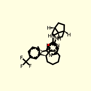 COc1cc(N2C[C@H]3CC[C@@H](C2)[C@H]3Nc2nc3n(n2)CCCC[C@H]3c2cccc(C(F)(F)F)c2)ccn1